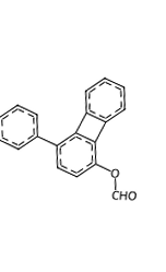 O=COc1ccc(-c2ccccc2)c2c1-c1ccccc1-2